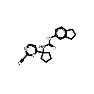 N#Cc1nccc(C2(NC(=O)Nc3ccc4c(c3)CCC4)CCCC2)n1